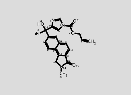 C=CCOC(=O)n1cnc(C(O)(c2ccc3c4c(ccc3c2)C(=O)N(C)C4)C(C)C)c1